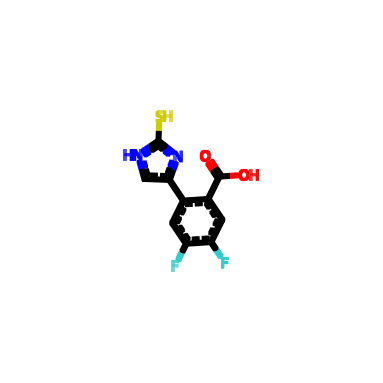 O=C(O)c1cc(F)c(F)cc1-c1c[nH]c(S)n1